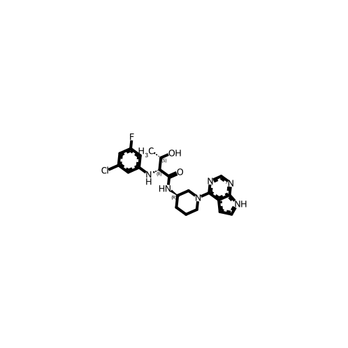 C[C@H](O)[C@@H](Nc1cc(F)cc(Cl)c1)C(=O)N[C@@H]1CCCN(c2ncnc3[nH]ccc23)C1